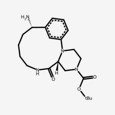 CC(C)(C)OC(=O)N1CCN2c3cccc(c3)[C@@H](N)CCCCNC(=O)[C@H]2C1